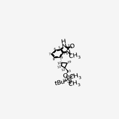 Cn1c(=O)[nH]c2cccc([C@H]3C[C@H](CO[Si](C)(C)C(C)(C)C)C3)c21